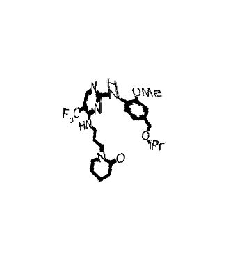 COc1cc(COC(C)C)ccc1Nc1ncc(C(F)(F)F)c(NCCCN2CCCCC2=O)n1